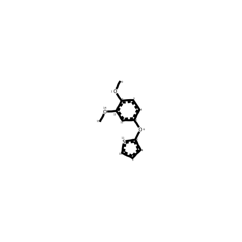 COc1ccc(Oc2cc[c]s2)cc1OC